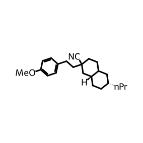 CCC[C@@H]1CC[C@@H]2CC(C#N)(CCc3ccc(OC)cc3)CCC2C1